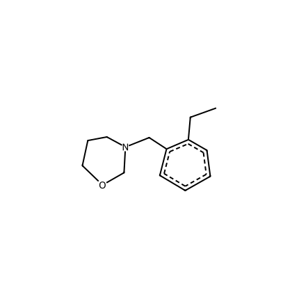 CCc1ccccc1CN1CCCOC1